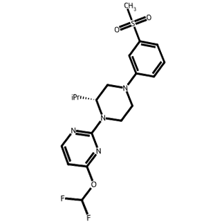 CC(C)[C@@H]1CN(c2cccc(S(C)(=O)=O)c2)CCN1c1nccc(OC(F)F)n1